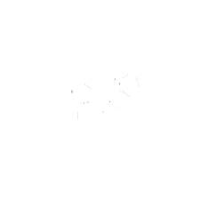 Fc1ccc(C2(C(F)(F)c3ccccn3)CO2)c(F)c1